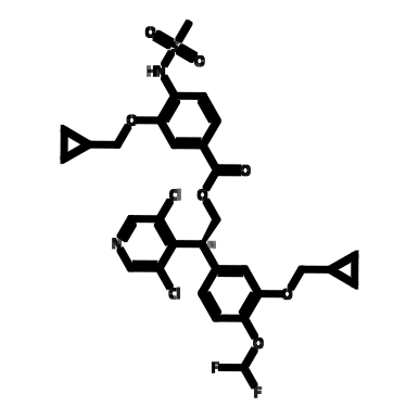 CS(=O)(=O)Nc1ccc(C(=O)OC[C@@H](c2ccc(OC(F)F)c(OCC3CC3)c2)c2c(Cl)cncc2Cl)cc1OCC1CC1